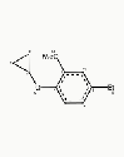 CCc1ccc(OC2CC2)c(OC)c1